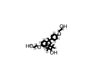 CC(CC1(O)C(C)(C)C(O)C1(C)C)(c1ccc(OCCO)cc1)c1ccc(OCCO)cc1